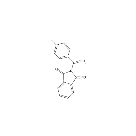 C=C(c1ccc(F)cc1)N1C(=O)c2ccccc2C1=O